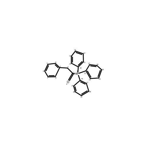 O=C(Cc1ccccc1)[PH](c1ccccc1)(c1ccccc1)c1ccccc1